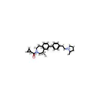 CC1CCCN1CCc1ccc(-c2ccc3c(c2)[C@@H](C)CN(C(=O)C2CC2)CC3)cc1